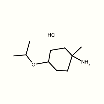 CC(C)OC1CCC(C)(N)CC1.Cl